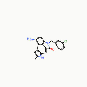 Cc1cc(C)c(C=C2C(=O)N(Cc3cccc(Cl)c3)c3ccc(N)cc32)[nH]1